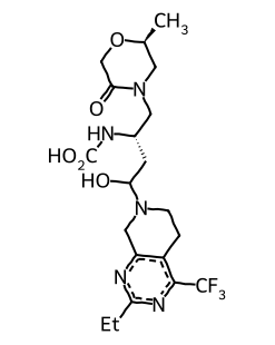 CCc1nc2c(c(C(F)(F)F)n1)CCN(C(O)C[C@@H](CN1C[C@H](C)OCC1=O)NC(=O)O)C2